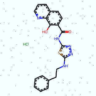 Cl.O=C(Nc1nnc(NCCc2ccccc2)s1)c1ccc2cccnc2c1O